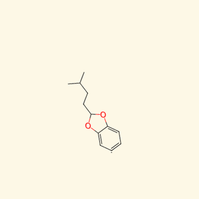 CC(C)CCC1Oc2c[c]ccc2O1